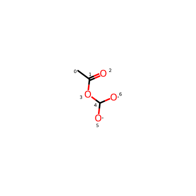 CC(=O)OC([O])[O]